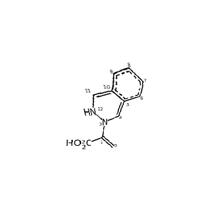 C=C(C(=O)O)N1C=c2ccccc2=CN1